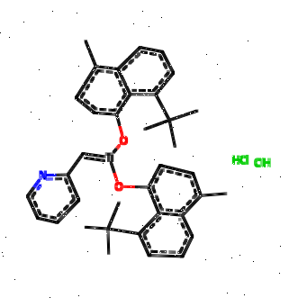 Cc1ccc([O][Ti](=[CH]c2ccccn2)[O]c2ccc(C)c3cccc(C(C)(C)C)c23)c2c(C(C)(C)C)cccc12.Cl.Cl